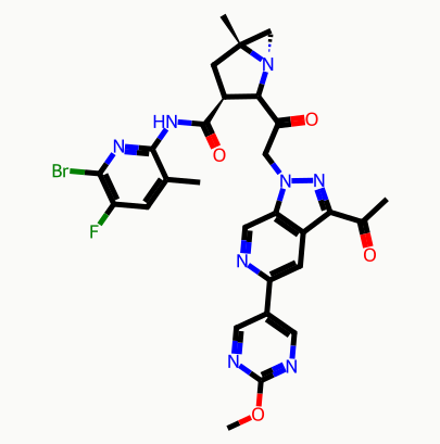 COc1ncc(-c2cc3c(C(C)=O)nn(CC(=O)C4[C@@H](C(=O)Nc5nc(Br)c(F)cc5C)C[C@]5(C)C[N@]45)c3cn2)cn1